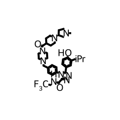 CC(C)c1cc(-c2nnc(C(=O)NCC(F)(F)F)n2-c2ccc(CN3CCN(C(=O)C4CCN([C@H]5CCN(C)C5)CC4)CC3)cc2)ccc1O